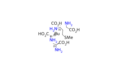 CC[C@H](C)[C@H](N)C(=O)O.CSCC[C@H](N)C(=O)O.C[C@H](N)C(=O)O.NCC(=O)O